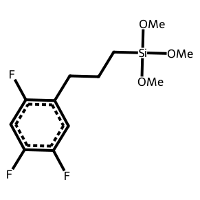 CO[Si](CCCc1cc(F)c(F)cc1F)(OC)OC